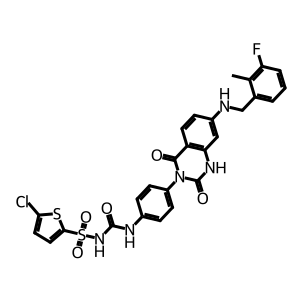 Cc1c(F)cccc1CNc1ccc2c(=O)n(-c3ccc(NC(=O)NS(=O)(=O)c4ccc(Cl)s4)cc3)c(=O)[nH]c2c1